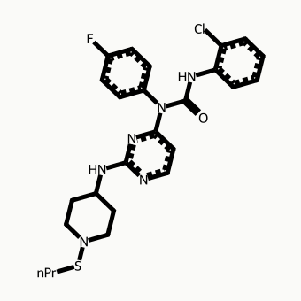 CCCSN1CCC(Nc2nccc(N(C(=O)Nc3ccccc3Cl)c3ccc(F)cc3)n2)CC1